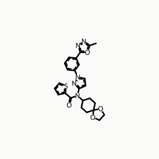 Cc1nnc(-c2cccc(-n3ccc(N(C(=O)c4cccs4)C4CCC5(CC4)OCCO5)n3)c2)o1